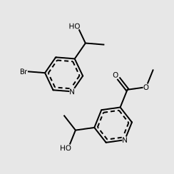 CC(O)c1cncc(Br)c1.COC(=O)c1cncc(C(C)O)c1